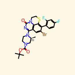 C[C@H]1CN(C(=O)OC(C)(C)C)CCN1c1nc(=O)n2c3c(c(-c4ccc(F)cc4F)c(Br)cc13)SCC2